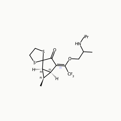 CC(C)NC(C)CO/C(=C1\C(=O)C2(SCCS2)[C@@H]2[C@H](C)[C@H]12)C(F)(F)F